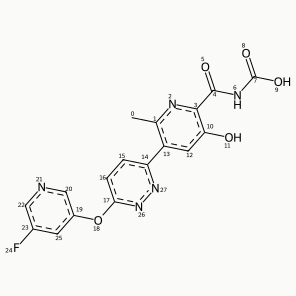 Cc1nc(C(=O)NC(=O)O)c(O)cc1-c1ccc(Oc2cncc(F)c2)nn1